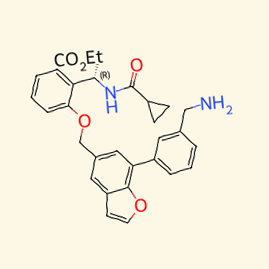 CCOC(=O)[C@H](NC(=O)C1CC1)c1ccccc1OCc1cc(-c2cccc(CN)c2)c2occc2c1